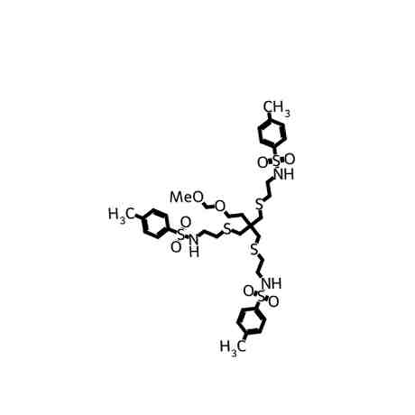 COCOCCC(CSCCNS(=O)(=O)c1ccc(C)cc1)(CSCCNS(=O)(=O)c1ccc(C)cc1)CSCCNS(=O)(=O)c1ccc(C)cc1